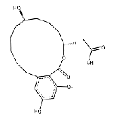 CC(=O)O.C[C@H]1CCC[C@H](O)CCCCCc2cc(O)cc(O)c2C(=O)O1